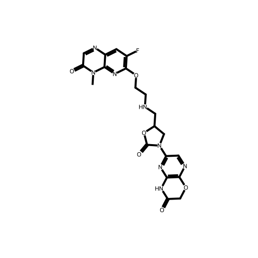 Cn1c(=O)cnc2cc(F)c(OCCNCC3CN(c4cnc5c(n4)NC(=O)CO5)C(=O)O3)nc21